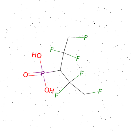 O=P(O)(O)C(C(F)(F)CF)C(F)(F)CF